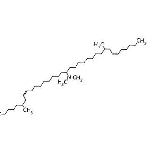 CCCCC/C=C\CC(C)CCCCCCCCC(CCCCCCCC/C=C\CC(C)CCCCC)N(C)C